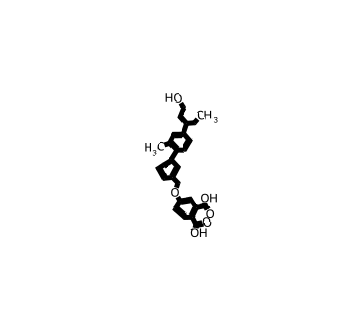 CCC(CCO)c1ccc(-c2cccc(COc3ccc(C(=O)O)c(C(=O)O)c3)c2)c(C)c1